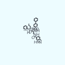 CCCC(Nc1ccccn1)OC(=O)C(CNC(=O)c1ccc2cn[nH]c2c1)NS(=O)(=O)c1ccc(-c2ccccc2)cc1